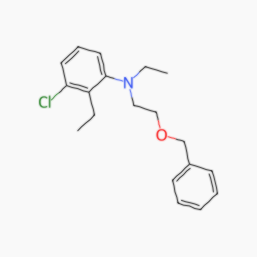 CCc1c(Cl)cccc1N(CC)CCOCc1ccccc1